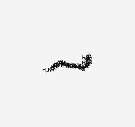 CC1(N)CCN(C2CCC3CC3(SC3C=C(NC(=O)C4=CC=C(N5CCC(N6CC=C(c7ccc(C(=O)NCc8ccc9c(c8)CN(C8CCC(=O)NC8=O)C9=O)nc7Cl)CC6)CC5)CC4)C=CC3)C=N2)CC1